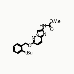 COC(=O)Nc1cn2nc(OCc3ccccc3C(C)(C)C)ccc2n1